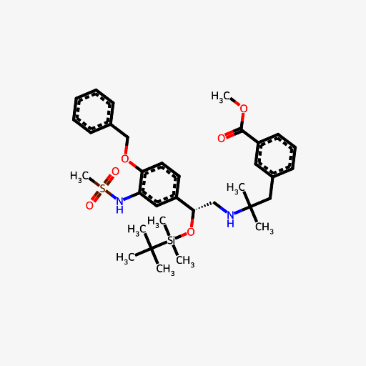 COC(=O)c1cccc(CC(C)(C)NC[C@H](O[Si](C)(C)C(C)(C)C)c2ccc(OCc3ccccc3)c(NS(C)(=O)=O)c2)c1